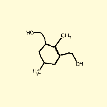 CC1CC(CO)C(C)C(CO)C1